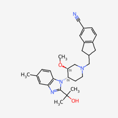 CO[C@H]1CN(CC2Cc3ccc(C#N)cc3C2)CC[C@@H]1n1c(C(C)(C)O)nc2cc(C)ccc21